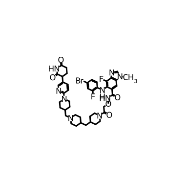 Cn1cnc2c(F)c(Nc3ccc(Br)cc3F)c(C(=O)NOCC(=O)N3CCC(CC4CCN(CC5CCN(c6ccc(C7CCC(=O)NC7=O)cn6)CC5)CC4)CC3)cc21